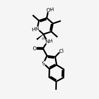 CC1=C(O)C(C)=C(C)[C@](C)(NC(=O)c2sc3cc(C)ccc3c2Cl)N1